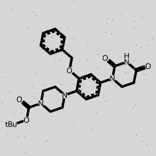 CC(C)(C)OC(=O)N1CCN(c2ccc(N3CCC(=O)NC3=O)cc2OCc2ccccc2)CC1